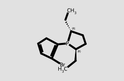 CC[C@@H]1CC[C@@H](CC)P1C1=C(Br)C=CC1